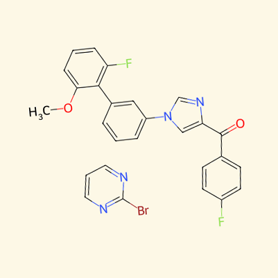 Brc1ncccn1.COc1cccc(F)c1-c1cccc(-n2cnc(C(=O)c3ccc(F)cc3)c2)c1